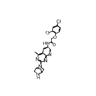 Cc1nc(N2CC3CC2CN3)nc2ncc(NC(=O)COc3ccc(Cl)cc3Cl)cc12